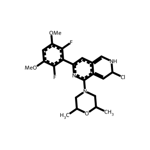 COc1cc(OC)c(F)c(-c2cc3c(c(N4CC(C)OC(C)C4)n2)=CC(Cl)NC=3)c1F